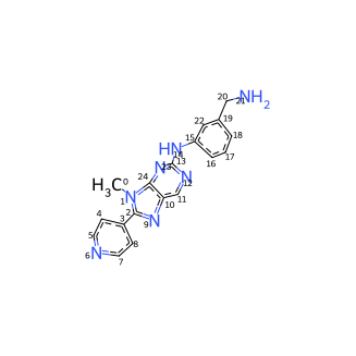 Cn1c(-c2ccncc2)nc2cnc(Nc3cccc(CN)c3)nc21